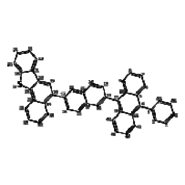 c1ccc(-c2c3ccccc3c(-c3ccc4cc(-c5cc6c7ccccc7sc6c6ccccc56)ccc4c3)c3ccccc23)cc1